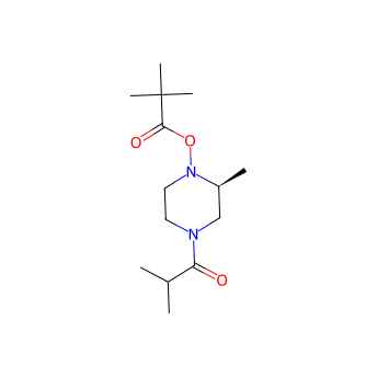 CC(C)C(=O)N1CCN(OC(=O)C(C)(C)C)[C@@H](C)C1